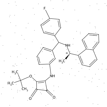 C[C@@H](NC(c1ccc(F)cc1)c1cccc(Nc2c(OC(C)(C)C)c(=O)c2=O)c1)c1cccc2ccccc12